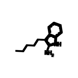 CCCCCc1c(N)[nH]c2ccccc12